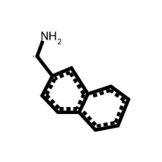 N[CH]c1ccc2ccccc2c1